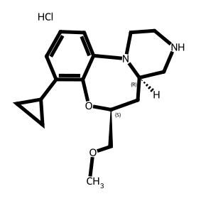 COC[C@@H]1C[C@@H]2CNCCN2c2cccc(C3CC3)c2O1.Cl